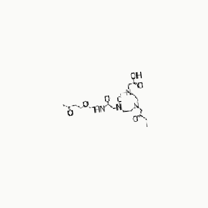 CCC(=O)CN1CCN(CC(=O)O)CCN(CC(=O)NCCOCCC(C)=O)CC1